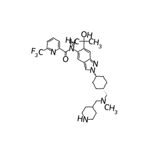 CN(CC1CCNCC1)C[C@H]1CC[C@H](n2cc3cc(NC(=O)c4cccc(C(F)(F)F)n4)c(C(C)(C)O)cc3n2)CC1